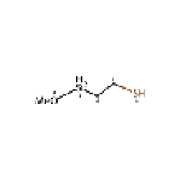 CO[SiH2]CCS